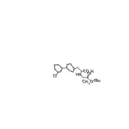 C[C@H](NC(Cc1ccc(-c2cccc(Cl)c2)cc1)C(=O)O)C(=O)OC(C)(C)C